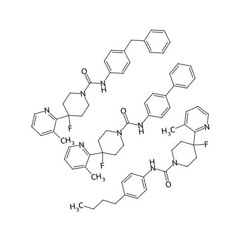 CCCCc1ccc(NC(=O)N2CCC(F)(c3ncccc3C)CC2)cc1.Cc1cccnc1C1(F)CCN(C(=O)Nc2ccc(-c3ccccc3)cc2)CC1.Cc1cccnc1C1(F)CCN(C(=O)Nc2ccc(Cc3ccccc3)cc2)CC1